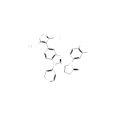 Cc1noc(C)c1-c1ccc2c(c1)nc([C@@H]1CCC(=O)N1c1ccc(F)c(F)c1)n2C1=CCSC=C1